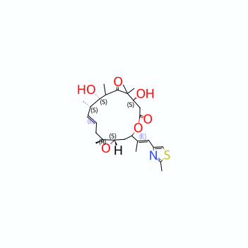 C/C(=C\c1csc(C)n1)C1C[C@@H]2O[C@]2(C)C/C=C/[C@H](C)[C@H](O)C(C)C(=O)C(C)(C)[C@@H](O)CC(=O)O1